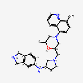 CC1CN(c2ccc(C#N)c3ncccc23)CC(CN2CCC(Nc3ccc4c(c3)CNC4)C2)O1